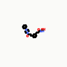 O=C(C=Cc1cccc(C=CC(=O)N2CCN(c3ccccc3)CC2)c1)NO